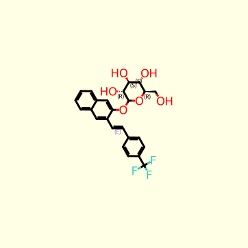 OC[C@H]1OC(Oc2cc3ccccc3cc2/C=C/c2ccc(C(F)(F)F)cc2)[C@H](O)[C@@H](O)[C@@H]1O